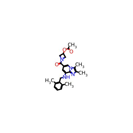 CC(=O)OC1CN(C(=O)c2cc(NCc3c(C)cccc3C)c3nc(C)c(C)n3c2)C1